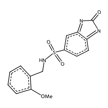 COc1ccccc1CNS(=O)(=O)c1ccc2c(c1)=NC(=O)N=2